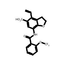 C=Cc1c(C(=O)O)cc(NC(=O)c2ccccc2OC(F)(F)F)c2c1CCO2